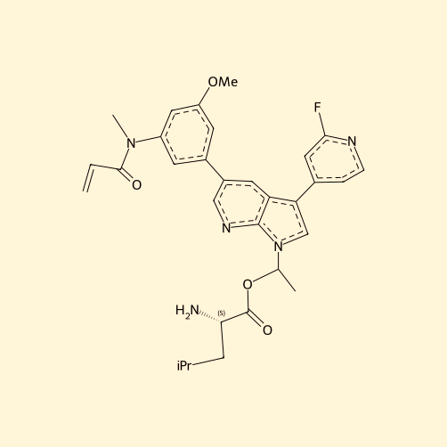 C=CC(=O)N(C)c1cc(OC)cc(-c2cnc3c(c2)c(-c2ccnc(F)c2)cn3C(C)OC(=O)[C@@H](N)CC(C)C)c1